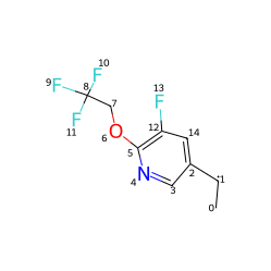 C[CH]c1cnc(OCC(F)(F)F)c(F)c1